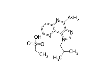 CC(C)Cn1cnc2c([AsH2])nc3cccnc3c21.CCS(=O)(=O)O